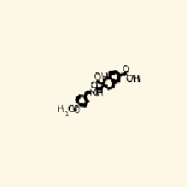 COc1ccc(CNCCC2(C(=O)O)CCc3cc(C(=O)O)ccc3C2)cc1